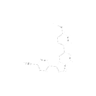 N#Cc1ccc(-c2cnc3cnc(-c4ccc(C(=O)O)cc4)cn23)cc1